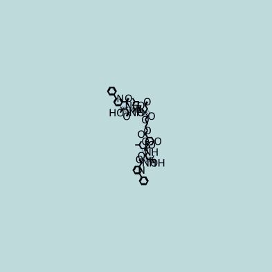 CC(C)C[C@H](NC(=O)[C@@H](NC(=O)c1cccc(-c2ccccc2)n1)[C@@H](C)O)B1OC(=O)CC(C(=O)OCCOC(=O)[C@@H]2CC(=O)OB([C@H](CC(C)C)NC(=O)[C@@H](NC(=O)c3cccc(-c4ccccc4)n3)[C@@H](C)O)O2)O1